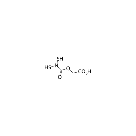 O=C(O)COC(=O)N(S)S